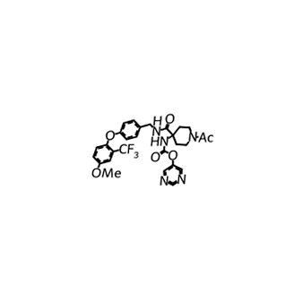 COc1ccc(Oc2ccc(CNC(=O)C3(NC(=O)Oc4cncnc4)CCN(C(C)=O)CC3)cc2)c(C(F)(F)F)c1